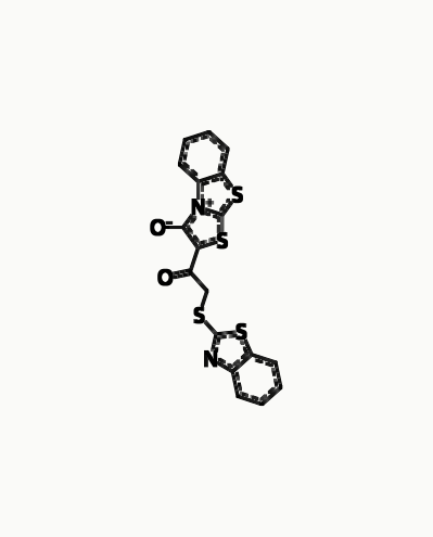 O=C(CSc1nc2ccccc2s1)c1sc2sc3ccccc3[n+]2c1[O-]